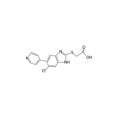 O=C(O)CSc1nc2cc(-c3ccncc3)c(Cl)cc2[nH]1